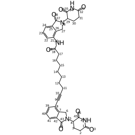 O=C1CCC(N2Cc3c(C#CCCCCCCCC(=O)Nc4cccc5c4CN(C4CCC(=O)NC4=O)C5=O)cccc3C2=O)C(=O)N1